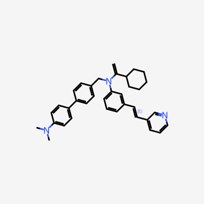 C=C(C1CCCCC1)N(Cc1ccc(-c2ccc(N(C)C)cc2)cc1)c1cccc(/C=C/c2cccnc2)c1